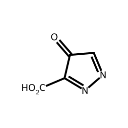 O=C(O)C1=NN=CC1=O